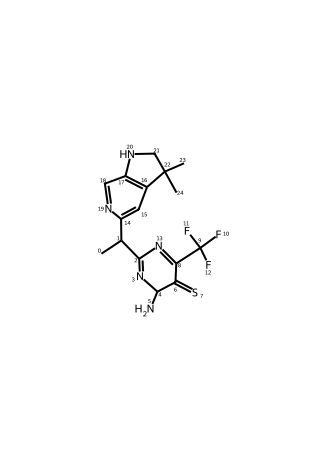 CC(C1=NC(N)C(=S)C(C(F)(F)F)=N1)c1cc2c(cn1)NCC2(C)C